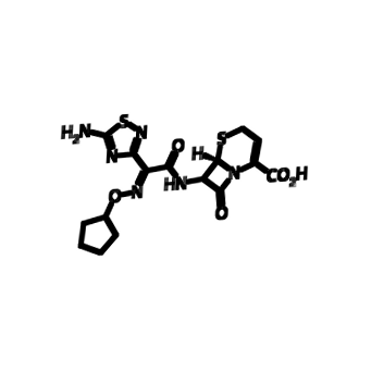 Nc1nc(C(=NOC2CCCC2)C(=O)NC2C(=O)N3C(C(=O)O)=CCS[C@@H]23)ns1